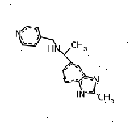 Cc1nc2cc(C(C)NCc3ccncc3)ccc2[nH]1